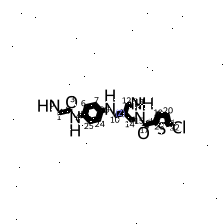 N=CC(=O)Nc1ccc(N/C=C(\C=N)CNC(=O)c2ccc(Cl)s2)cc1